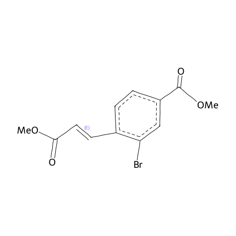 COC(=O)/C=C/c1ccc(C(=O)OC)cc1Br